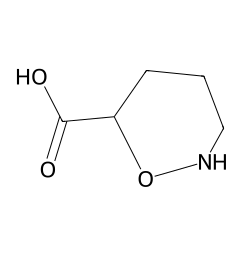 O=C(O)C1CCCNO1